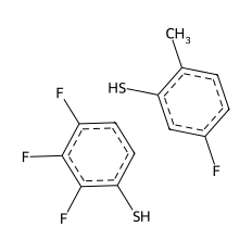 Cc1ccc(F)cc1S.Fc1ccc(S)c(F)c1F